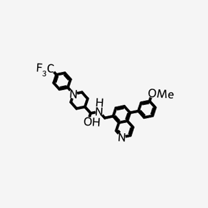 COc1cccc(-c2ccc(CNC(O)C3CCN(c4ccc(C(F)(F)F)cc4)CC3)c3cnccc23)c1